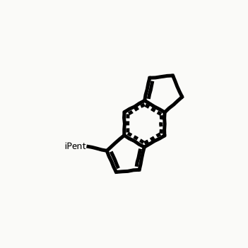 CCCC(C)C1=CC=c2cc3c(cc21)=CCC3